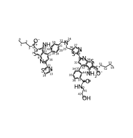 CCCC[S+]([O-])c1sc2nc(-c3nccs3)cc(-c3ccc(CN(C)Cc4cnc(-c5cc(-c6cccc(C(=O)NCCO)c6)c6c(N)c([S+]([O-])CCCC)sc6n5)s4)cc3)c2c1N